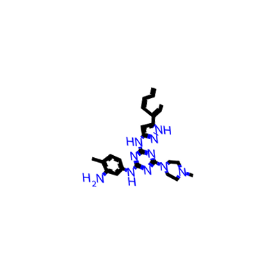 C=C/C=C\C(=C/C)c1cc(Nc2nc(Nc3ccc(C)c(N)c3)nc(N3CCN(C)CC3)n2)n[nH]1